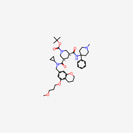 COCCCOc1cc(CN(C(=O)[C@@H]2C[C@H](C(=O)NC3(c4ccccc4)CCN(C)CC3)CN(C(=O)OC(C)(C)C)C2)C2CC2)cc2c1CCCO2